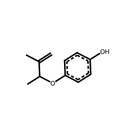 C=C(C)C(C)Oc1ccc(O)cc1